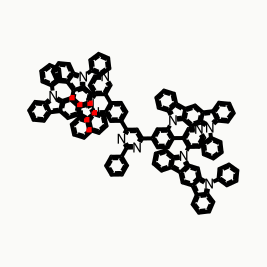 c1ccc(-c2nc(-c3ccc(-c4cnccc4-n4c5ccccc5c5cc6c7ccccc7n(-c7ccccc7)c6cc54)c(-n4c5ccccc5c5cc6c7ccccc7n(-c7ccccc7)c6cc54)c3)cc(-c3ccc(-c4cnccc4-n4c5ccccc5c5cc6c7ccccc7n(-c7ccccc7)c6cc54)c(-n4c5ccccc5c5cc6c7ccccc7n(-c7ccccc7)c6cc54)c3)n2)cc1